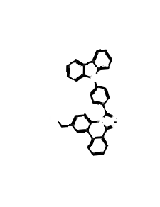 CC(C)Cc1ccc2c(c1)c1ccccc1c1nnc(-c3ccc(-n4c5ccccc5c5ccccc54)cc3)n21